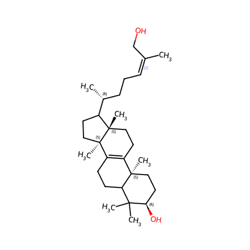 C/C(=C/CC[C@@H](C)C1CC[C@]2(C)C3=C(CC[C@@]12C)[C@@]1(C)CC[C@@H](O)C(C)(C)C1CC3)CO